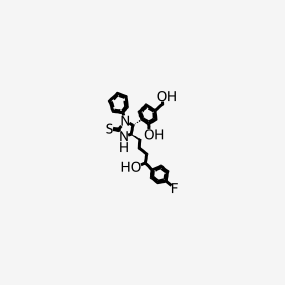 OCc1ccc([C@@H]2[C@@H](CCCC(O)c3ccc(F)cc3)NC(=S)N2c2ccccc2)c(O)c1